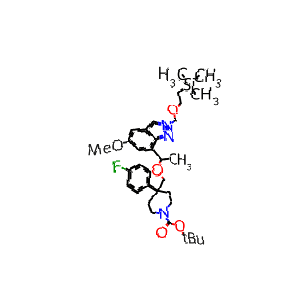 COc1cc(C(C)OCC2(c3ccc(F)cc3)CCN(C(=O)OC(C)(C)C)CC2)c2nn(COCC[Si](C)(C)C)cc2c1